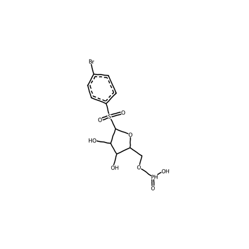 O=[PH](O)OCC1OC(S(=O)(=O)c2ccc(Br)cc2)C(O)C1O